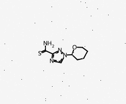 NC(=S)c1ncn(C2CCCCO2)n1